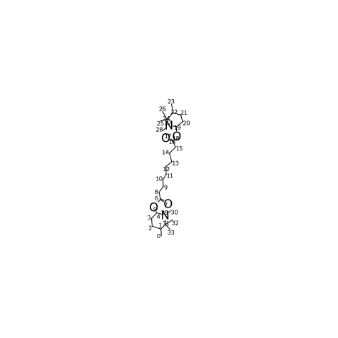 CC1CCC(OC(=O)CCCCCCCCC(=O)OC2CCC(C)C(C)(C)N2C)N(C)C1(C)C